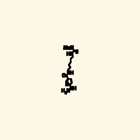 CNC(=S)NCCCCCCNC(=O)c1ccc(NN)nc1